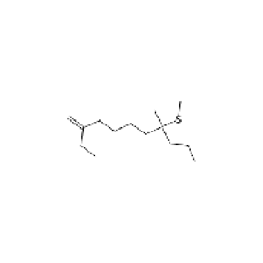 C=C(CC)CCCCC(C)(CCC)SC